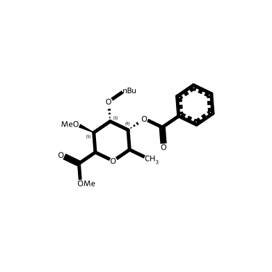 CCCCO[C@@H]1[C@H](OC(=O)c2ccccc2)C(C)OC(C(=O)OC)[C@H]1OC